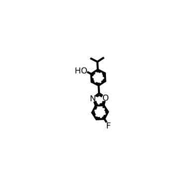 CC(C)c1ccc(-c2nc3ccc(F)cc3o2)cc1O